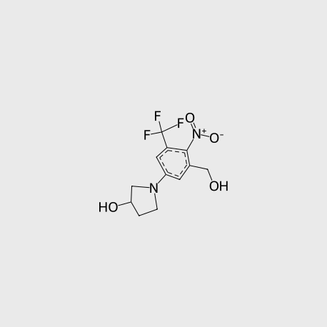 O=[N+]([O-])c1c(CO)cc(N2CCC(O)C2)cc1C(F)(F)F